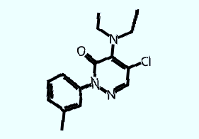 CCN(CC)c1c(Cl)cnn(-c2cccc(C)c2)c1=O